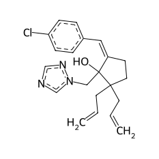 C=CCC1(CC=C)CCC(=Cc2ccc(Cl)cc2)C1(O)Cn1cncn1